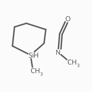 CN=C=O.C[SiH]1CCCCC1